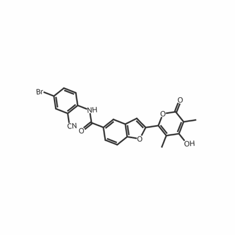 Cc1c(-c2cc3cc(C(=O)Nc4ccc(Br)cc4C#N)ccc3o2)oc(=O)c(C)c1O